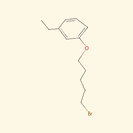 CCc1cccc(OCCCCCBr)c1